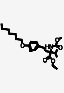 CCCCCCCOc1ccc(CCC(NC(=O)OC)(C(=O)OCC)C(C)C)cc1